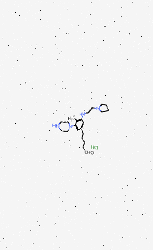 Cc1c(NCCN2CCCC2)cc(CCCCC=O)cc1N1CCNCC1.Cl